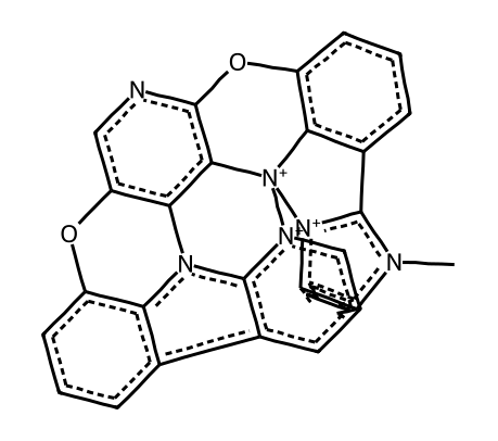 Cn1c2[n+](c3ccccc31)[N+]13c4c(cccc4-2)Oc2ncc4c(c21)-n1c2c(cccc2c2ccc[n+]3c21)O4